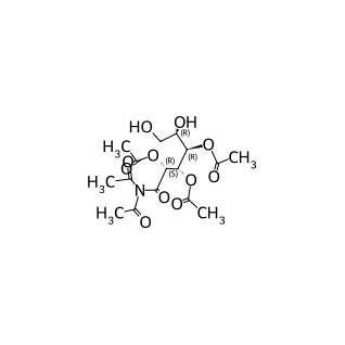 CC(=O)O[C@@H]([C@H](OC(C)=O)[C@@H](OC(C)=O)C(=O)N(C(C)=O)C(C)=O)[C@H](O)CO